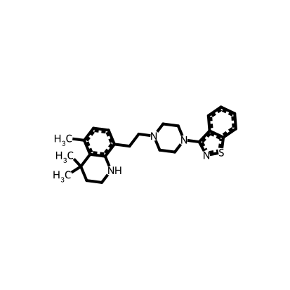 Cc1ccc(CCN2CCN(c3nsc4ccccc34)CC2)c2c1C(C)(C)CCN2